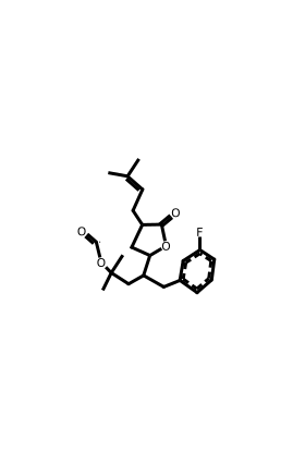 CC(C)=CCC1CC(C(Cc2cccc(F)c2)CC(C)(C)O[C]=O)OC1=O